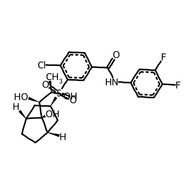 C[C@@H](O)[C@H](O)[C@@]1(O)[C@@H]2CC[C@H]1C[C@H](S(=O)(=O)c1cc(C(=O)Nc3ccc(F)c(F)c3)ccc1Cl)C2